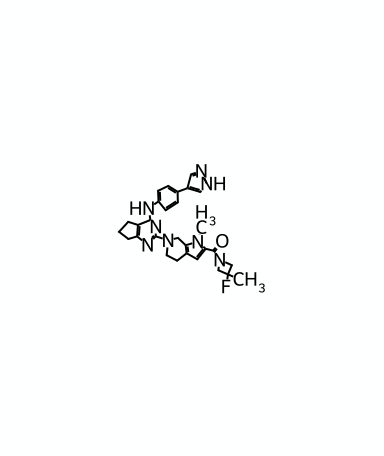 Cn1c(C(=O)N2CC(C)(F)C2)cc2c1CN(c1nc3c(c(Nc4ccc(-c5cn[nH]c5)cc4)n1)CCC3)CC2